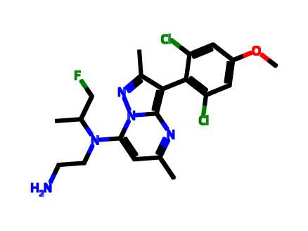 COc1cc(Cl)c(-c2c(C)nn3c(N(CCN)C(C)CF)cc(C)nc23)c(Cl)c1